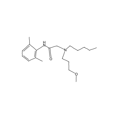 CCCCCN(CCCOC)CC(=O)Nc1c(C)cccc1C